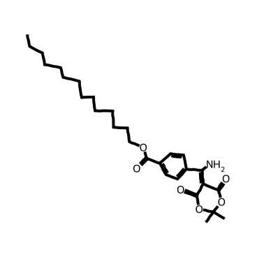 CCCCCCCCCCCCCCOC(=O)c1ccc(C(N)=C2C(=O)OC(C)(C)OC2=O)cc1